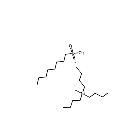 CCCCCCCCS(=O)(=O)O.CCCC[N+](C)(CCCC)CCCC